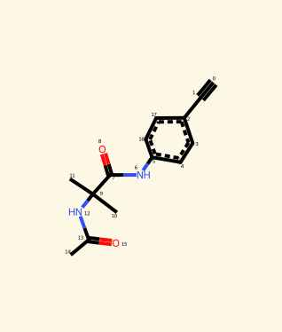 C#Cc1ccc(NC(=O)C(C)(C)NC(C)=O)cc1